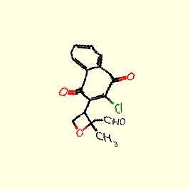 CC1(C=O)OCC1C1=C(Cl)C(=O)c2ccccc2C1=O